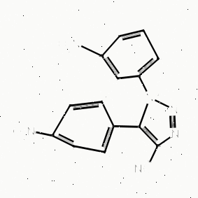 N#Cc1nnn(-c2cccc([N+](=O)[O-])c2)c1-c1ccc([N+](=O)[O-])cc1